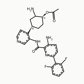 CC(=O)O[C@H]1CC[C@@H](c2ccncc2NC(=O)c2nc(-c3c(F)cccc3F)ccc2N)CC1N